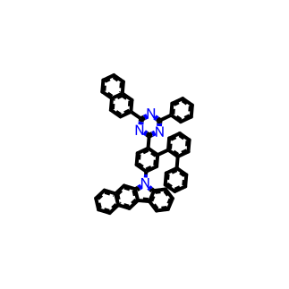 c1ccc(-c2nc(-c3ccc4ccccc4c3)nc(-c3ccc(-n4c5ccccc5c5cc6ccccc6cc54)cc3-c3ccccc3-c3ccccc3)n2)cc1